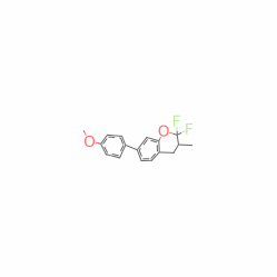 COc1ccc(-c2ccc3c(c2)OC(F)(F)C(C)C3)cc1